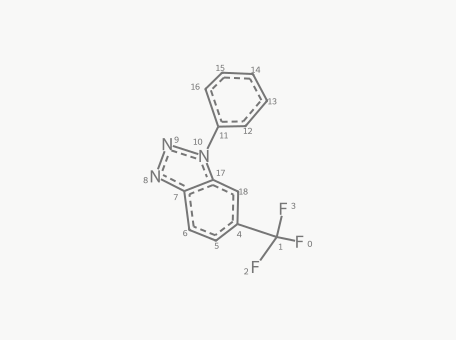 FC(F)(F)c1ccc2nnn(-c3ccccc3)c2c1